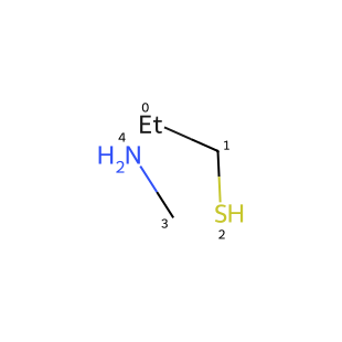 CCCS.CN